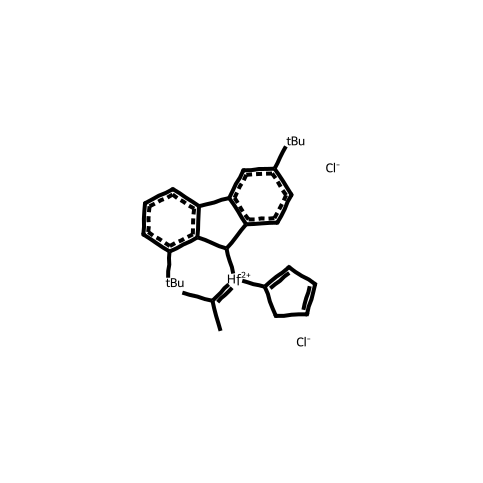 C[C](C)=[Hf+2]([C]1=CC=CC1)[CH]1c2ccc(C(C)(C)C)cc2-c2cccc(C(C)(C)C)c21.[Cl-].[Cl-]